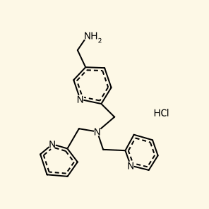 Cl.NCc1ccc(CN(Cc2ccccn2)Cc2ccccn2)nc1